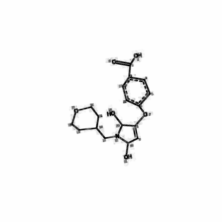 O=C(O)c1ccc(OC2=CC(O)N(CC3CCOCC3)C2O)cc1